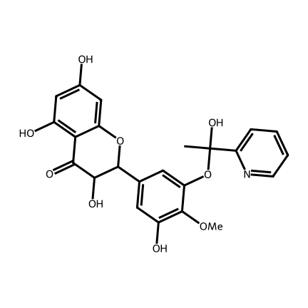 COc1c(O)cc(C2Oc3cc(O)cc(O)c3C(=O)C2O)cc1OC(C)(O)c1ccccn1